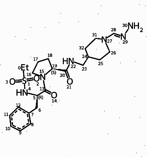 CCS(=O)(=O)N[C@H](Cc1ccccc1)C(=O)N1CCC[C@H]1C(=O)NCC1CCN(C=NN)CC1